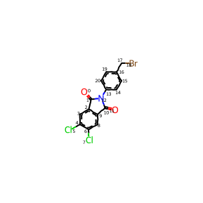 O=C1c2cc(Cl)c(Cl)cc2C(=O)N1c1ccc(CBr)cc1